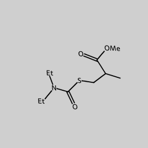 CCN(CC)C(=O)SCC(C)C(=O)OC